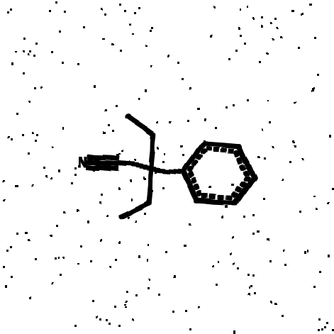 CCC(C#N)(CC)c1ccccc1